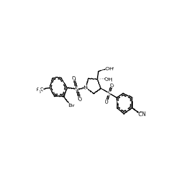 N#Cc1ccc(S(=O)(=O)C2CN(S(=O)(=O)c3ccc(C(F)(F)F)cc3Br)C[C@@]2(O)CO)cc1